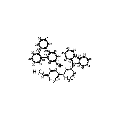 C=C/C(=C\CC(=C)/C(=C\C=C/C)Nc1cccc(-c2ccccc2-c2ccccc2)c1)n1c2ccccc2c2ccccc21